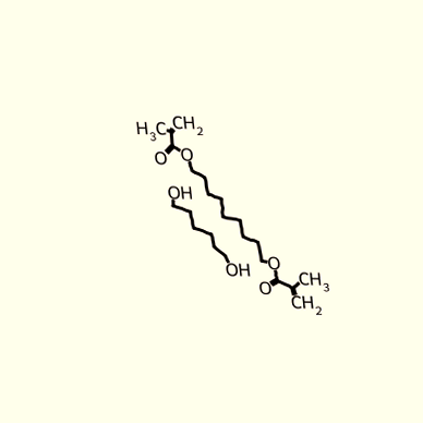 C=C(C)C(=O)OCCCCCCCCCOC(=O)C(=C)C.OCCCCCCO